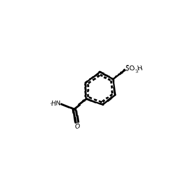 [NH]C(=O)c1ccc(S(=O)(=O)O)cc1